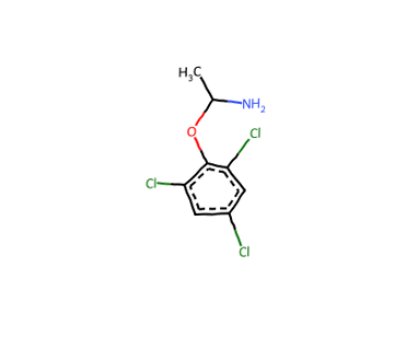 CC(N)Oc1c(Cl)cc(Cl)cc1Cl